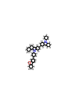 c1ccc(-n2c3ccccc3c3cc(-c4ccc5c(c4)c4ccc6ccccc6c4n5-c4ccc(-c5ccc6c(c5)oc5ccccc56)cc4)ccc32)cc1